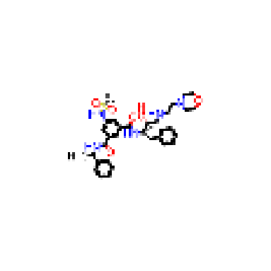 CCS(=O)(=O)Nc1cc(C(=O)N[C@@H](Cc2ccccc2)[C@H](O)CNCCN2CCOCC2)cc(C(=O)N[C@H](C)c2ccccc2)c1